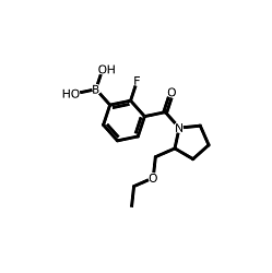 CCOCC1CCCN1C(=O)c1cccc(B(O)O)c1F